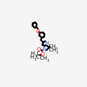 CC(C)(C)OC(=O)N1CC(C)(C)c2ncc(Cc3cccc(OCc4ccccc4)c3)cc21